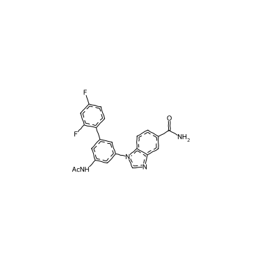 CC(=O)Nc1cc(-c2ccc(F)cc2F)cc(-n2cnc3cc(C(N)=O)ccc32)c1